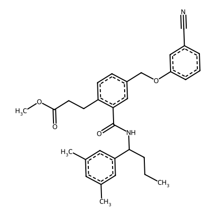 CCCC(NC(=O)c1cc(COc2cccc(C#N)c2)ccc1CCC(=O)OC)c1cc(C)cc(C)c1